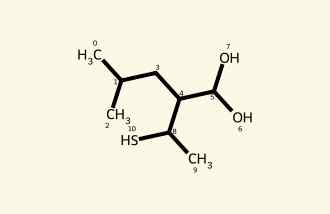 CC(C)CC(C(O)O)C(C)S